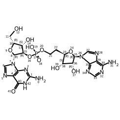 Nc1nc2c(ncn2[C@@H]2O[C@H](CO)[C@H](O)[C@H]2OP(=O)(O)OCC[C@H]2O[C@@H](n3cnc4c(N)ncnc43)[C@H](O)[C@@H]2O)c(=O)[nH]1